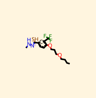 CCCCOCCCOc1ccc(/C(S)=N/NC)cc1C(F)(F)F